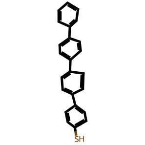 Sc1ccc(-c2ccc(-c3ccc(-c4ccccc4)cc3)cc2)cc1